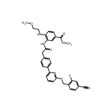 COCCNc1ccc(C(=O)OC)cc1NC(=O)Cc1ccc(-c2cccc(OCc3ccc(C#N)cc3F)n2)cc1